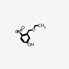 CCOCc1cc(O)ccc1[N+](=O)[O-]